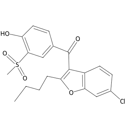 CCCCc1oc2cc(Cl)ccc2c1C(=O)c1ccc(O)c(S(C)(=O)=O)c1